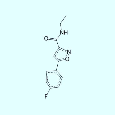 CCNC(=O)c1cc(-c2ccc(F)cc2)on1